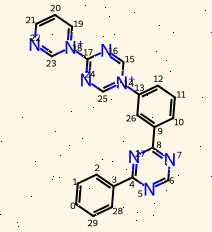 c1ccc(-c2ncnc(-c3cccc(-[n+]4cnc(-[n+]5cccnc5)nc4)c3)n2)cc1